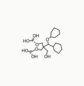 OCC(COP(O)O)(COP(O)O)C(OC1CCCCC1)C1CCCCC1